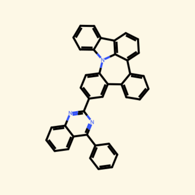 c1ccc(-c2nc(-c3ccc4c(c3)-c3ccccc3-c3cccc5c6ccccc6n-4c35)nc3ccccc23)cc1